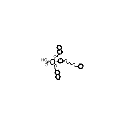 O=C(O)N1C[C@H](OCc2ccc3ccccc3c2)[C@H](c2ccc(OCCCOCc3ccccc3)cc2)[C@H](OCc2ccc3ccccc3c2)C1